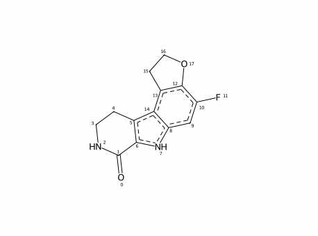 O=C1NCCc2c1[nH]c1cc(F)c3c(c21)CCO3